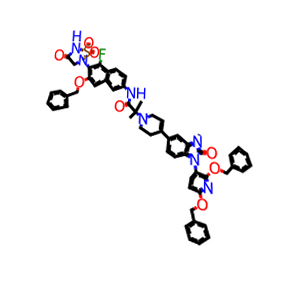 Cn1c(=O)n(-c2ccc(OCc3ccccc3)nc2OCc2ccccc2)c2ccc(C3=CCN(C(C)(C)C(=O)Nc4ccc5c(F)c(N6CC(=O)NS6(=O)=O)c(OCc6ccccc6)cc5c4)CC3)cc21